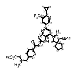 CCOC(=O)CN(C)Cc1ccc(C(=O)Nc2nc3nc(-c4cnc(C5CC5)c(C(F)(F)F)c4)cc(N(C)CC4(COC)CCCC4)c3[nH]2)nc1